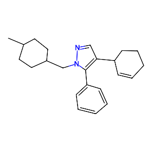 CC1CCC(Cn2ncc(C3C=CCCC3)c2-c2ccccc2)CC1